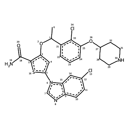 CC(Oc1cc(-n2cnc3ccc(Cl)cc32)sc1C(N)=O)c1cccc(OC2CCNCC2)c1Cl